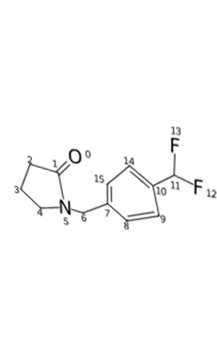 O=C1CCCN1Cc1ccc(C(F)F)cc1